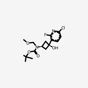 COCN(C(=O)OC(C)(C)C)[C@H]1C[C@](O)(c2ccc(Cl)nc2F)C1